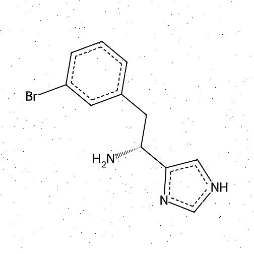 N[C@H](Cc1cccc(Br)c1)c1c[nH]cn1